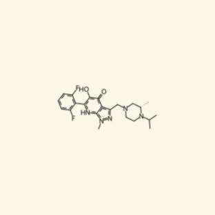 CC(C)N1CCN(Cc2nn(C)c3[nH]c(-c4c(F)cccc4F)c(O)c(=O)c23)C[C@@H]1C